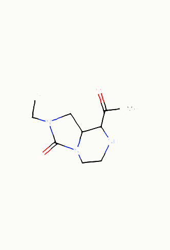 COC(=O)C1NCCN2C(=O)N(CC(C)C)CC12